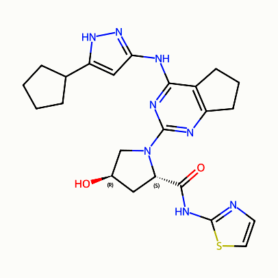 O=C(Nc1nccs1)[C@@H]1C[C@@H](O)CN1c1nc2c(c(Nc3cc(C4CCCC4)[nH]n3)n1)CCC2